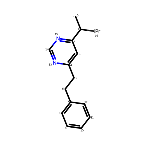 [CH2]C(c1cc(CCc2ccccc2)ncn1)C(C)C